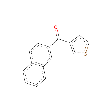 O=C(c1ccsc1)c1ccc2ccccc2c1